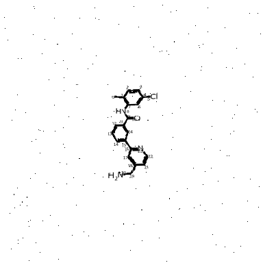 Cc1ccc(Cl)cc1NC(=O)c1cccc(-c2cc(CN)ccn2)c1